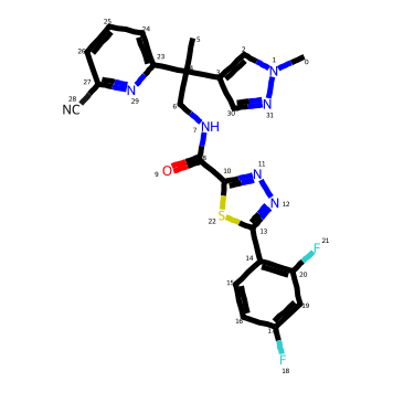 Cn1cc(C(C)(CNC(=O)c2nnc(-c3ccc(F)cc3F)s2)c2cccc(C#N)n2)cn1